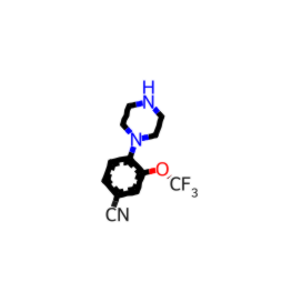 N#Cc1ccc(N2CCNCC2)c(OC(F)(F)F)c1